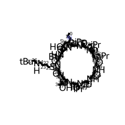 C/C=C/C[C@@H](C)[C@@H](O)[C@H]1C(=O)N[C@@H](CC)C(=O)N(C)[C@H](CSCCCCNCC(C)(C)C)C(=O)N(C)[C@@H](CC(C)(C)O)C(=O)N[C@@H](C(C)C)C(=O)N(C)[C@@H](CC(C)C)C(=O)N[C@@H](C)C(=O)N[C@H](C)C(=O)N(C)[C@@H](CC(C)C)C(=O)N(C)[C@@H](CC(C)C)C(=O)N(C)[C@@H](C(C)C)C(=O)N1C